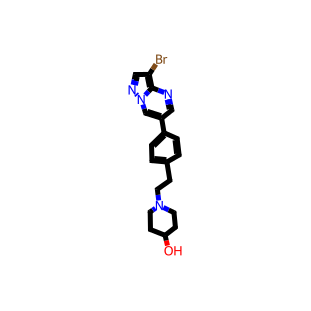 OC1CCN(CCc2ccc(-c3cnc4c(Br)cnn4c3)cc2)CC1